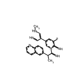 CN/C=C(\C=N)c1cc(F)c(=N)n(C(=N)C(C)c2ccc3ncccc3c2)c1